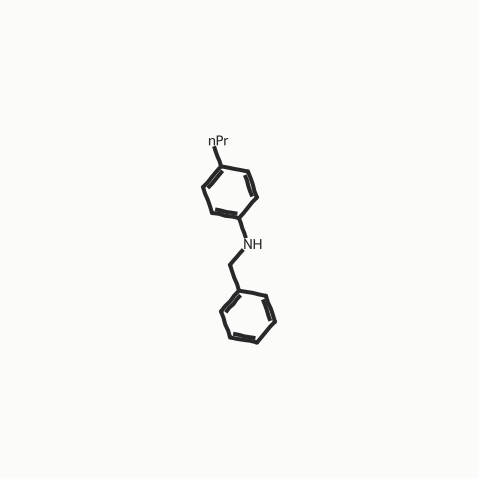 CCCc1ccc(NCc2ccccc2)cc1